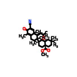 COC(=O)[C@]12CCC(C)(C)CC1C[C@](C)([C@]1(C)CCC3=C(C)C(=O)C(C#N)=C[C@]3(C)/C1=C/C(C)=O)CC2